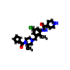 Cc1c(CN2CCN(C(=O)C3CCCC3)C(C)C2)cc(Cl)cc1NC(=O)C1CCNCC1